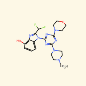 O=C(O)N1CCN(c2nc(N3CCOCC3)nc(-n3c(C(F)F)nc4c(O)cccc43)n2)CC1